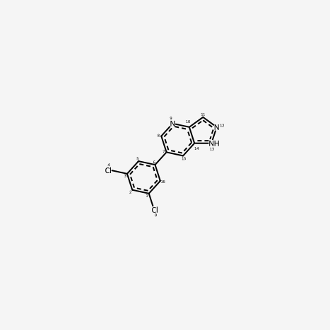 Clc1cc(Cl)cc(-c2cnc3cn[nH]c3c2)c1